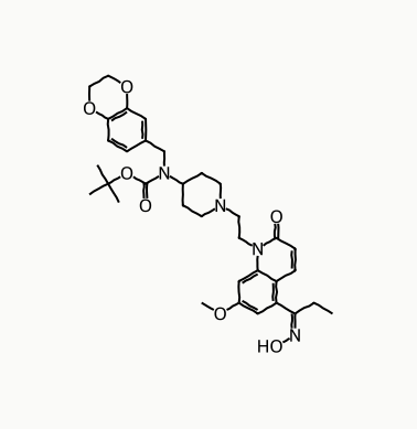 CC/C(=N/O)c1cc(OC)cc2c1ccc(=O)n2CCN1CCC(N(Cc2ccc3c(c2)OCCO3)C(=O)OC(C)(C)C)CC1